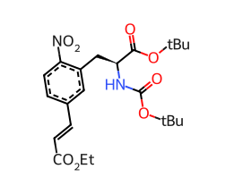 CCOC(=O)/C=C/c1ccc([N+](=O)[O-])c(C[C@H](NC(=O)OC(C)(C)C)C(=O)OC(C)(C)C)c1